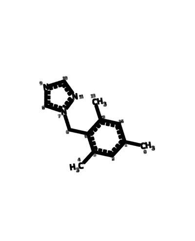 Cc1cc(C)c(Cn2cncn2)c(C)c1